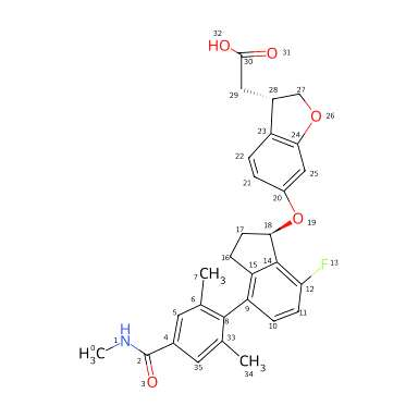 CNC(=O)c1cc(C)c(-c2ccc(F)c3c2CC[C@H]3Oc2ccc3c(c2)OC[C@H]3CC(=O)O)c(C)c1